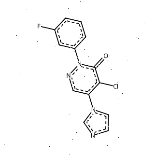 O=c1c(Cl)c(-n2ccnc2)cnn1-c1cccc(F)c1